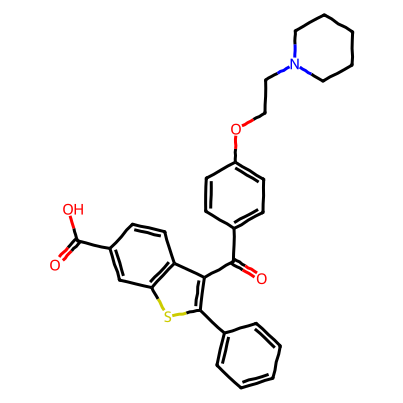 O=C(O)c1ccc2c(C(=O)c3ccc(OCCN4CCCCC4)cc3)c(-c3ccccc3)sc2c1